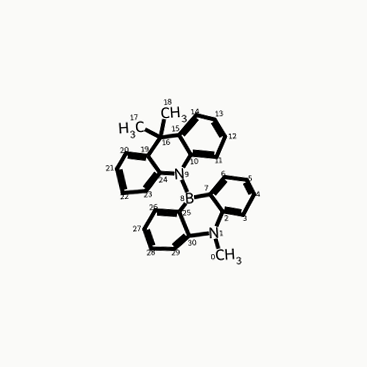 CN1c2ccccc2B(N2c3ccccc3C(C)(C)c3ccccc32)c2ccccc21